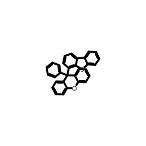 c1ccc(C2(c3cccc4c3sc3ccccc34)c3ccccc3Oc3ccccc32)cc1